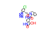 O=C(Nc1ccc2[nH]c(=O)cc(O)c2c1)C1c2ccccc2CCN1C(=O)/C=C/c1cc(Cl)ccc1-n1cnnn1